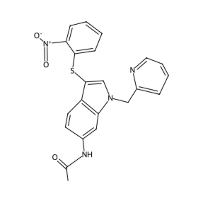 CC(=O)Nc1ccc2c(Sc3ccccc3[N+](=O)[O-])cn(Cc3ccccn3)c2c1